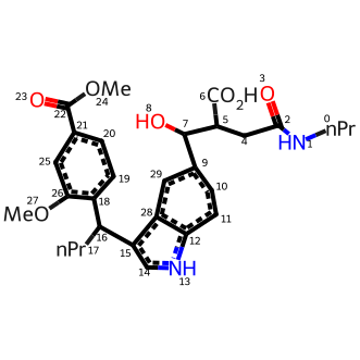 CCCNC(=O)CC(C(=O)O)C(O)c1ccc2[nH]cc(C(CCC)c3ccc(C(=O)OC)cc3OC)c2c1